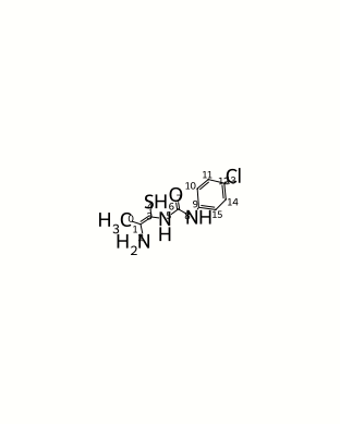 C/C(N)=C(\S)NC(=O)Nc1ccc(Cl)cc1